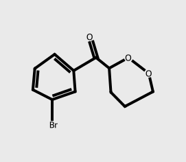 O=C(c1cccc(Br)c1)C1CCCOO1